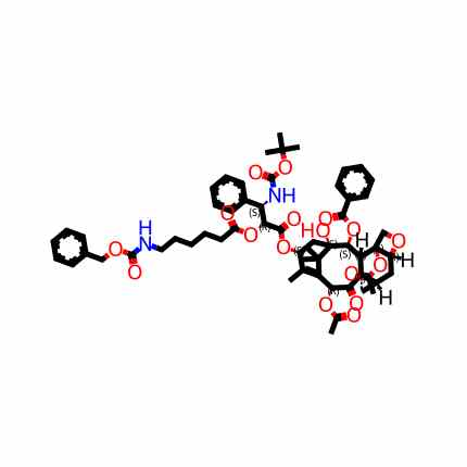 CC(=O)O[C@H]1C(=O)[C@]23C[C@H]2C[C@H]2OC[C@@]2(OC(C)=O)[C@H]3[C@H](OC(=O)c2ccccc2)[C@]2(O)C[C@H](OC(=O)[C@H](OC(=O)CCCCCNC(=O)OCc3ccccc3)[C@@H](NC(=O)OC(C)(C)C)c3ccccc3)C(C)=C1C2(C)C